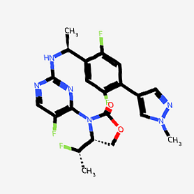 C[C@H](Nc1ncc(F)c(N2C(=O)OC[C@@H]2[C@H](C)F)n1)c1cc(F)c(-c2cnn(C)c2)cc1F